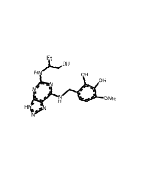 CCC(CO)Nc1nc(NCc2ccc(OC)c(O)c2O)c2nn[nH]c2n1